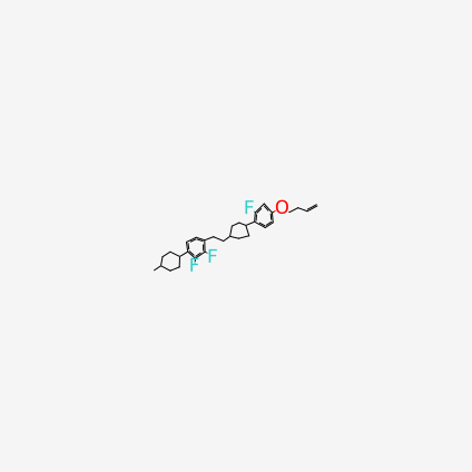 C=CCCOc1ccc(C2CCC(CCc3ccc(C4CCC(C)CC4)c(F)c3F)CC2)c(F)c1